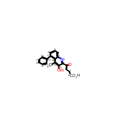 O=C(O)CCC(=O)c1nc2cccc(-c3ccccc3)c2c(C(F)(F)F)c1O